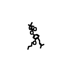 CCCCOc1cc(OC(=O)OC(C)(C)C)ccc1CC=C(C)C